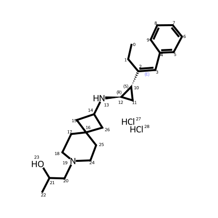 CC/C(=C\c1ccccc1)[C@@H]1C[C@H]1NC1CC2(CCN(CC(C)O)CC2)C1.Cl.Cl